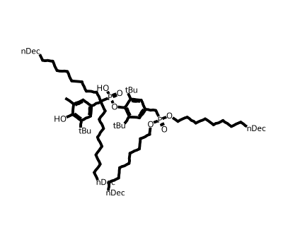 CCCCCCCCCCCCCCCCCCOP(=O)(Cc1cc(C(C)(C)C)c(OP(=O)(O)C(CCCCCCCCCCCCCCCCCC)(CCCCCCCCCCCCCCCCCC)c2cc(C)c(O)c(C(C)(C)C)c2)c(C(C)(C)C)c1)OCCCCCCCCCCCCCCCCCC